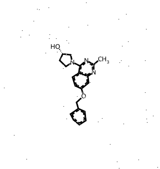 Cc1nc(N2CC[C@H](O)C2)c2ccc(OCc3ccccc3)cc2n1